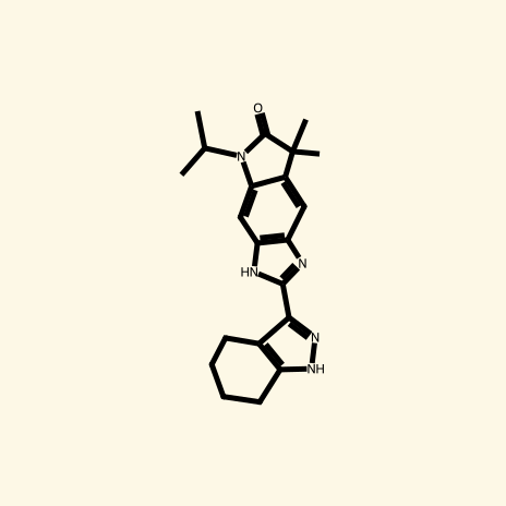 CC(C)N1C(=O)C(C)(C)c2cc3nc(-c4n[nH]c5c4CCCC5)[nH]c3cc21